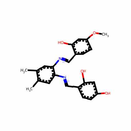 COc1ccc(/C=N/c2cc(C)c(C)cc2/N=C/c2ccc(O)cc2O)c(O)c1